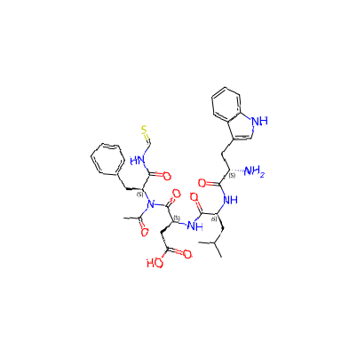 CC(=O)N(C(=O)[C@H](CC(=O)O)NC(=O)[C@H](CC(C)C)NC(=O)[C@@H](N)Cc1c[nH]c2ccccc12)[C@@H](Cc1ccccc1)C(=O)NC=S